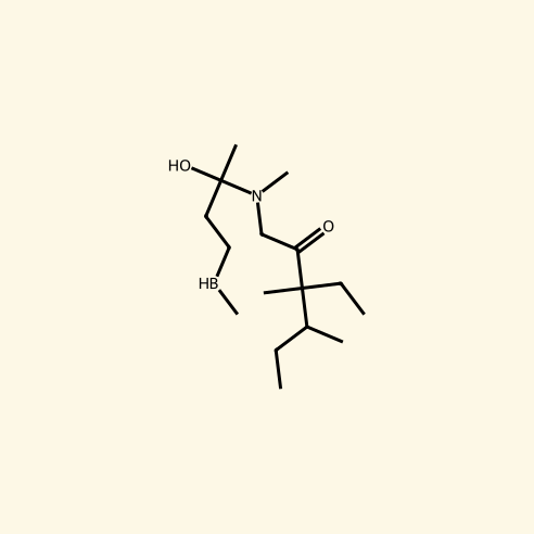 CBCCC(C)(O)N(C)CC(=O)C(C)(CC)C(C)CC